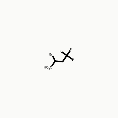 O=C(O)C(Br)CC(F)(F)F